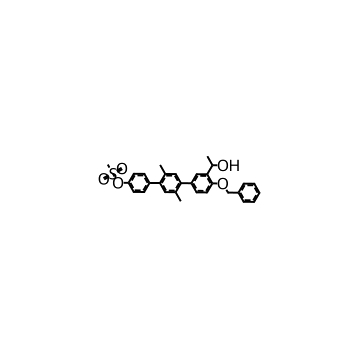 Cc1cc(-c2ccc(OCc3ccccc3)c(C(C)O)c2)c(C)cc1-c1ccc(OS(C)(=O)=O)cc1